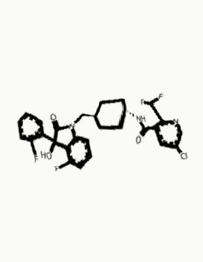 O=C(N[C@H]1CC[C@H](CN2C(=O)C(O)(c3ccccc3F)c3c(F)cccc32)CC1)c1cc(Cl)cnc1C(F)F